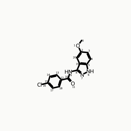 COc1ccc2[nH]nc(NC(=O)c3ccc(Cl)cc3)c2c1